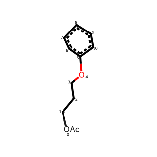 CC(=O)O[CH]CCOc1ccccc1